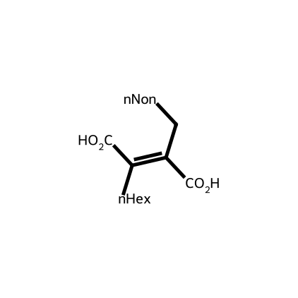 CCCCCCCCCCC(C(=O)O)=C(CCCCCC)C(=O)O